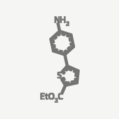 CCOC(=O)c1ccc(-c2ccc(N)cc2)s1